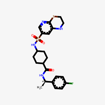 C[C@@H](NC(=O)C1CCC(NS(=O)(=O)c2cnc3c(c2)NCCS3)CC1)c1ccc(F)cc1